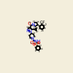 O=C(NS(=O)(=O)c1ccccc1)N1CCC(n2ncc(C(=O)N3CC[C@@H](c4ccccc4C(F)(F)F)C3)c2C2CC2)CC1